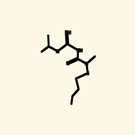 CCCCSN(C)C(=O)NC(=N)OC(C)C